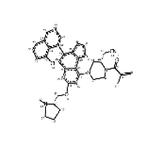 C=C(F)C(=O)N1CCN(c2nc(OC[C@@H]3CCCN3C)nc3cc(-c4cncc5cccc(Cl)c45)c4ccoc4c23)C[C@@H]1CC#N